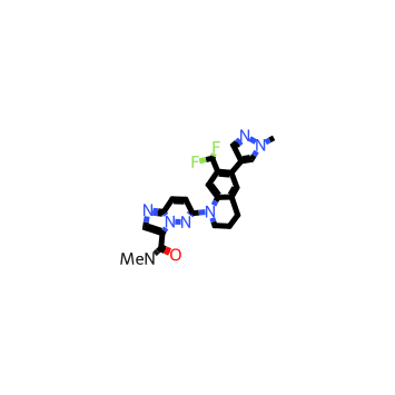 CNC(=O)c1cnc2ccc(N3CCCc4cc(-c5cnn(C)c5)c(C(F)F)cc43)nn12